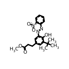 COC(=O)CCc1cc(N=Nc2ccccc2[N+](=O)[O-])c(O)c(C(C)(C)C)c1